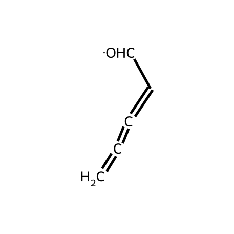 C=C=C=C[C]=O